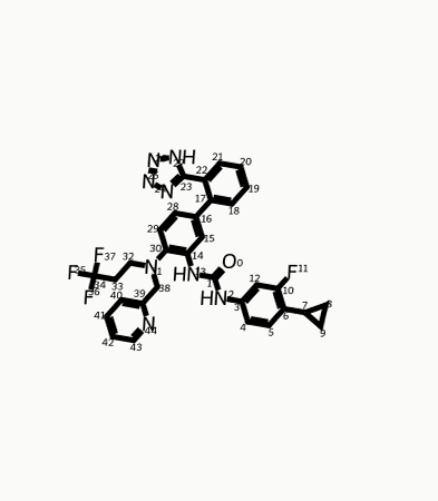 O=C(Nc1ccc(C2CC2)c(F)c1)Nc1cc(-c2ccccc2-c2nnn[nH]2)ccc1N(CCC(F)(F)F)Cc1ccccn1